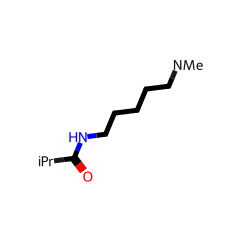 CNCCCCCNC(=O)C(C)C